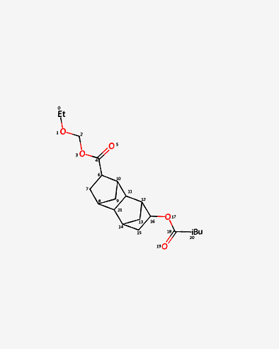 CCOCOC(=O)C1CC2CC1C1C3CC(CC3OC(=O)C(C)CC)C21